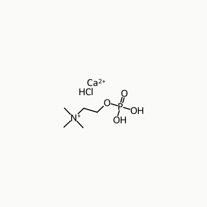 C[N+](C)(C)CCOP(=O)(O)O.Cl.[Ca+2]